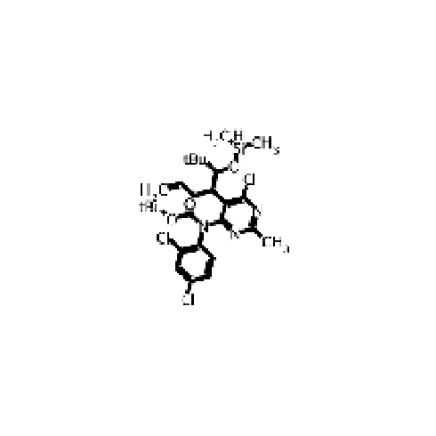 C=CCC(c1c(Cl)nc(C)nc1N(C(=O)OC(C)(C)C)c1ccc(Cl)cc1Cl)C(O[SiH](C)C)C(C)(C)C